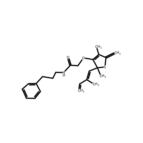 C=C/C(C)=C/C1(C)SC(=C)C(C)=C1OCC(=O)NCCCc1ccccc1